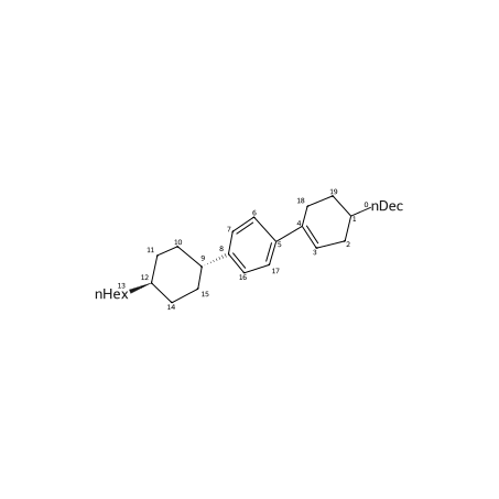 CCCCCCCCCCC1CC=C(c2ccc([C@H]3CC[C@H](CCCCCC)CC3)cc2)CC1